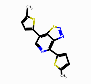 Cc1ccc(-c2ncc(-c3ccc(C)s3)c3snnc23)s1